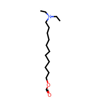 CCN(CC)CCCCCCCCCCCOC=O